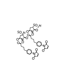 O=C(CCCc1ccc(N2C(=O)C=CC2=O)cc1)ON1C(=O)CC(S(=O)(=O)O)C1=O.O=C(CCCc1ccc(N2C(=O)C=CC2=O)cc1)ON1C(=O)CC(S(=O)(=O)O)C1=O